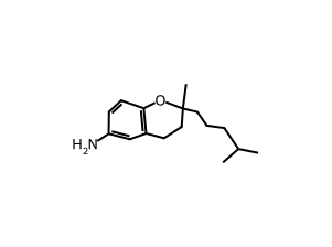 CC(C)CCCC1(C)CCc2cc(N)ccc2O1